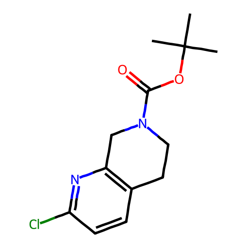 CC(C)(C)OC(=O)N1CCc2ccc(Cl)nc2C1